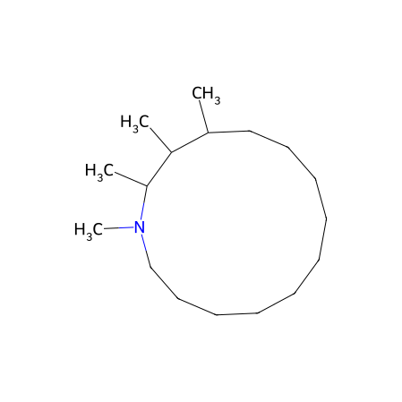 CC1CCCCCCCCCCN(C)C(C)C1C